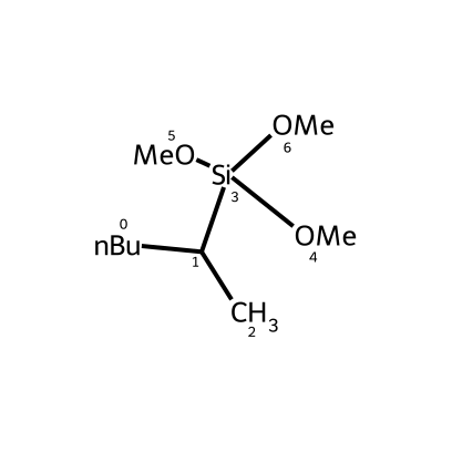 [CH2]CCCC(C)[Si](OC)(OC)OC